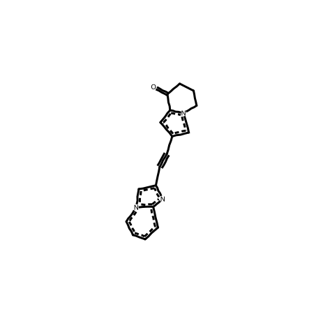 O=C1CCCn2cc(C#Cc3cn4ccccc4n3)cc21